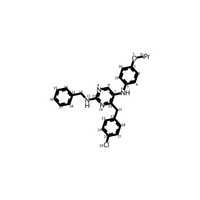 CC(C)Oc1ccc(Nc2cnc(NCc3ccccc3)nc2Cc2ccc(Cl)cc2)cc1